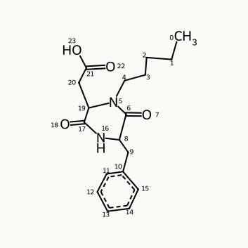 CCCCCN1C(=O)C(Cc2ccccc2)NC(=O)C1CC(=O)O